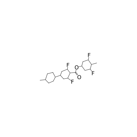 CC1CCC(C2CC(F)C(C(=O)OC3CC(F)C(C)C(F)C3)C(F)C2)CC1